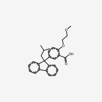 COCCOc1ccc(C2(CC(C)C)c3ccccc3-c3ccccc32)cc1C(=O)O